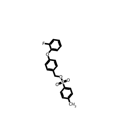 Cc1ccc(S(=O)(=O)OCc2ccc(Oc3ccccc3F)cc2)cc1